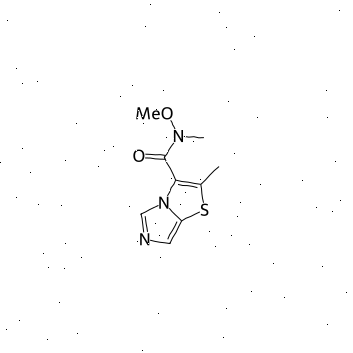 CON(C)C(=O)c1c(C)sc2cncn12